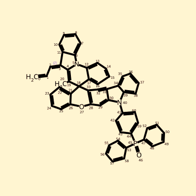 C=C/C=c1\c2n(c3ccccc13)-c1ccccc1C1(C=2C)c2ccccc2Oc2cc3c(cc21)c1ccccc1n3-c1ccc(P(=O)(c2ccccc2)c2ccccc2)cc1